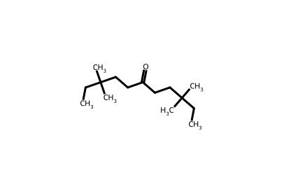 CCC(C)(C)CCC(=O)CCC(C)(C)CC